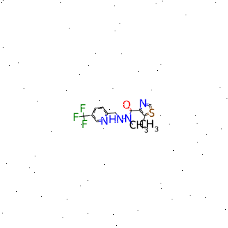 Cc1scnc1C(=O)N(C)NCc1ccc(C(F)(F)F)cn1